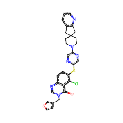 O=c1c2c(Cl)c(Sc3cnc(N4CCC5(CC4)Cc4cccnc4C5)cn3)ccc2ncn1Cc1ccoc1